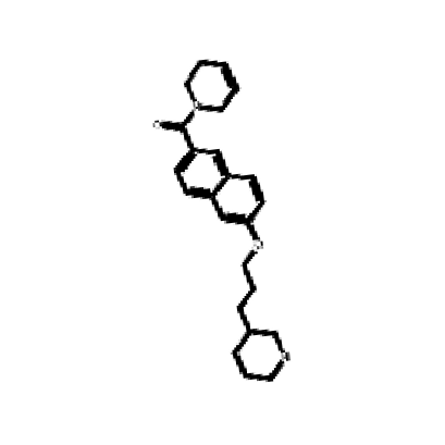 O=C(c1ccc2cc(OCCCC3CCCNC3)ccc2c1)N1CC=CCC1